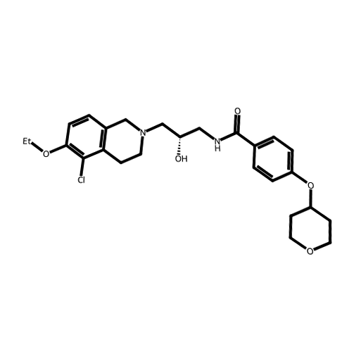 CCOc1ccc2c(c1Cl)CCN(C[C@@H](O)CNC(=O)c1ccc(OC3CCOCC3)cc1)C2